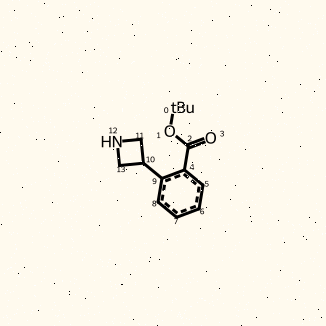 CC(C)(C)OC(=O)c1ccccc1C1CNC1